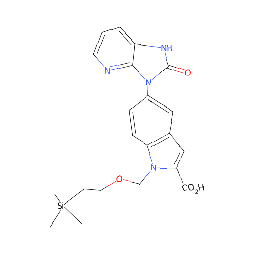 C[Si](C)(C)CCOCn1c(C(=O)O)cc2cc(-n3c(=O)[nH]c4cccnc43)ccc21